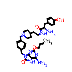 CCCCOc1nc(N)c2[nH]c(=O)n(Cc3ccc(CN4CCC(CCNC(=O)[C@@H](N)Cc5ccc(O)cc5)CC4)cc3)c2n1